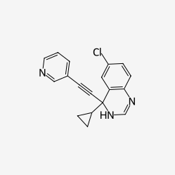 Clc1ccc2c(c1)C(C#Cc1cccnc1)(C1CC1)NC=N2